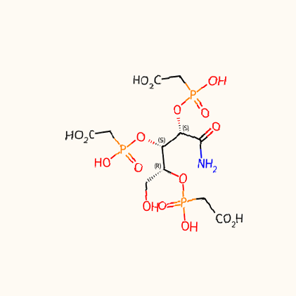 NC(=O)[C@@H](OP(=O)(O)CC(=O)O)[C@@H](OP(=O)(O)CC(=O)O)[C@@H](CO)OP(=O)(O)CC(=O)O